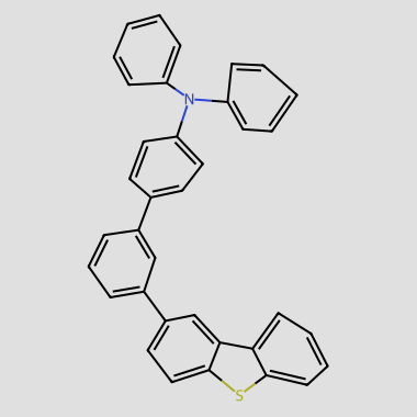 c1ccc(N(c2ccccc2)c2ccc(-c3cccc(-c4ccc5sc6ccccc6c5c4)c3)cc2)cc1